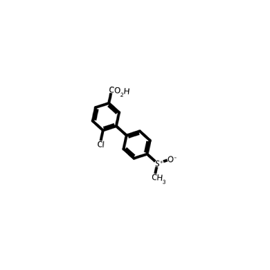 C[S+]([O-])c1ccc(-c2cc(C(=O)O)ccc2Cl)cc1